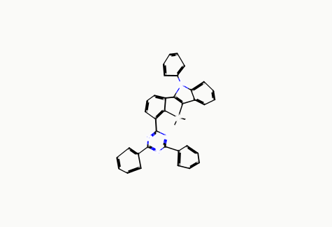 C[Si]1(C)c2c(-c3nc(-c4ccccc4)nc(-c4ccccc4)n3)cccc2-c2c1c1ccccc1n2-c1ccccc1